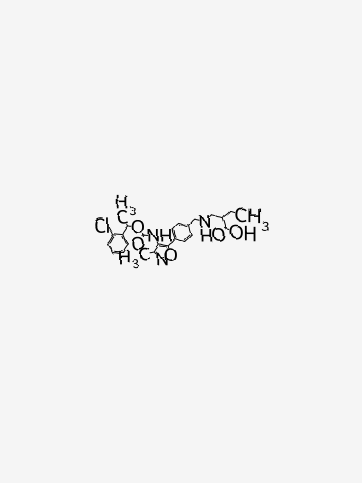 CCC(CNCc1ccc(-c2onc(C)c2NC(=O)OC(C)c2ccccc2Cl)cc1)C(=O)O